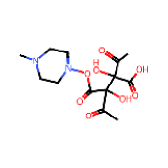 CC(=O)C(O)(C(=O)O)C(O)(C(C)=O)C(=O)ON1CCN(C)CC1